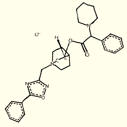 O=C(O[C@H]1C[N+]2(Cc3noc(-c4ccccc4)n3)CCC1CC2)C(c1ccccc1)N1CCCCC1.[Cl-]